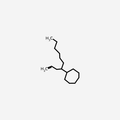 C=CCC(CCCCCC)C1CCCCCC1